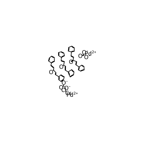 O=C(C=Cc1ccccc1)C=Cc1ccccc1.O=C(C=Cc1ccccc1)C=Cc1ccccc1.O=C(C=Cc1ccccc1)C=Cc1ccccc1.O=C([O-])[O-].O=C([O-])[O-].[Cl][Cs].[Pd+2].[Pd+2]